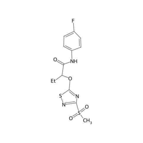 CCC(Oc1nc(S(C)(=O)=O)ns1)C(=O)Nc1ccc(F)cc1